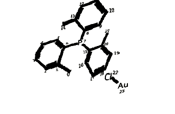 Cc1ccccc1P(c1ccccc1C)c1ccccc1C.[Cl][Au]